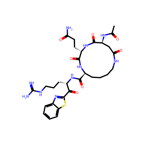 CC(=O)N[C@H]1CC(=O)NCCCC[C@@H](C(=O)N[C@@H](CCCNC(=N)N)C(=O)c2nc3ccccc3s2)NC(=O)[C@H](CCC(N)=O)NC1=O